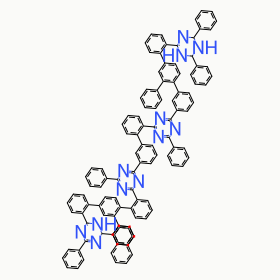 c1ccc(C2=NC(c3ccccc3)NC(c3ccccc3-c3ccc(-c4ccccc4-c4nc(-c5ccccc5)nc(-c5cccc(-c6ccccc6-c6nc(-c7ccccc7)nc(-c7cccc(-c8ccc(-c9ccccc9C9=NC(c%10ccccc%10)NC(c%10ccccc%10)N9)cc8-c8ccccc8)c7)n6)c5)n4)c(-c4ccc5ccccc5c4)c3)=N2)cc1